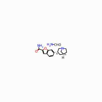 NC(=O)c1cc2ccc([C@H]3C[C@@H]4CCN(C4)C3)cc2o1.NC=O